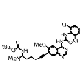 CNC(CCCC#Cc1cc2ncnc(NC(=O)Nc3c(Cl)cccc3Cl)c2cc1OC)NC(=O)OC(C)(C)C